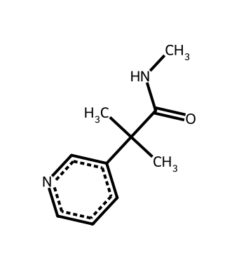 CNC(=O)C(C)(C)c1cccnc1